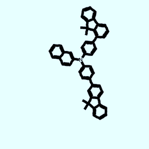 CC1(C)c2ccccc2-c2ccc(-c3ccc(N(c4ccc(-c5cccc6c5C(C)(C)c5ccccc5-6)cc4)c4ccc5ccccc5c4)cc3)cc21